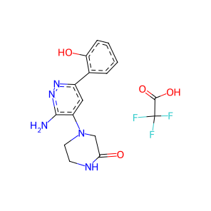 Nc1nnc(-c2ccccc2O)cc1N1CCNC(=O)C1.O=C(O)C(F)(F)F